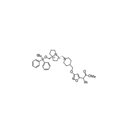 COC(=O)C(c1cc(OCC2CCN(C[C@@H]3CC[C@]4(CO[Si](c5ccccc5)(c5ccccc5)C(C)(C)C)CCCN34)CC2)no1)C(C)C